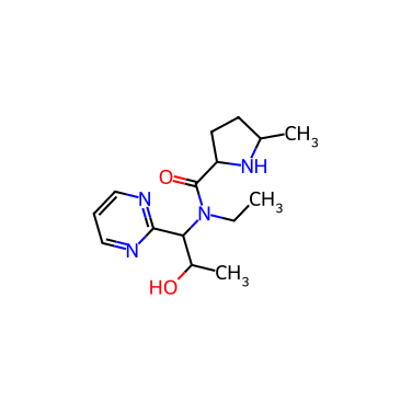 CCN(C(=O)C1CCC(C)N1)C(c1ncccn1)C(C)O